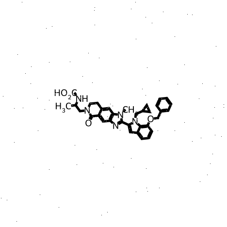 CC(CN1CCc2cc3c(cc2C1=O)nc(-c1cc2cccc(OCc4ccccc4)c2n1CC1CC1)n3C)NC(=O)O